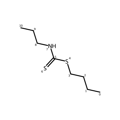 CCCCSC(=S)NCCC